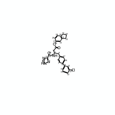 O=C(CC(Cc1ccc(-c2cccc(Cl)c2)cc1)NC(=O)c1nn[nH]n1)Oc1ccc2c(c1)CCC2